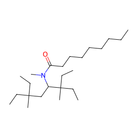 CCCCCCCCC(=O)N(C)C(CC(C)(CC)CC)C(C)(CC)CC